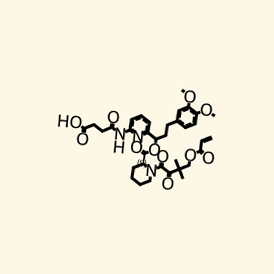 C=CC(=O)OCC(C)(C)C(=O)C(=O)N1CCCC[C@H]1C(=O)OC(CCc1ccc(OC)c(OC)c1)c1cccc(NC(=O)CCC(=O)O)n1